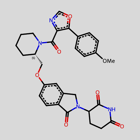 COc1ccc(-c2ocnc2C(=O)N2CCCC[C@H]2COc2ccc3c(c2)CN(C2CCC(=O)NC2=O)C3=O)cc1